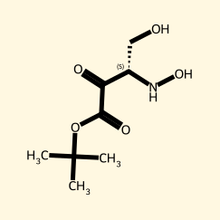 CC(C)(C)OC(=O)C(=O)[C@H](CO)NO